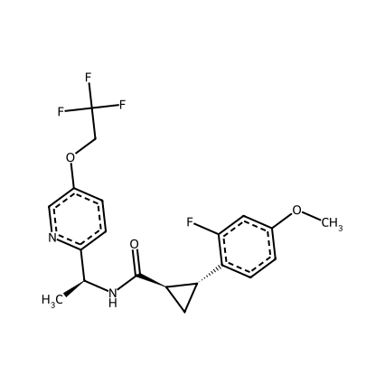 COc1ccc([C@@H]2C[C@H]2C(=O)N[C@@H](C)c2ccc(OCC(F)(F)F)cn2)c(F)c1